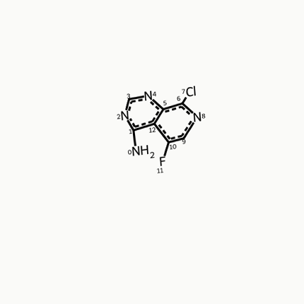 Nc1ncnc2c(Cl)ncc(F)c12